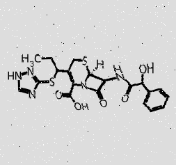 CCC(Sc1nc[nH]n1)C1=C(C(=O)O)N2C(=O)C(NC(=O)C(O)c3ccccc3)[C@@H]2SC1